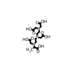 CC(C(=O)O)N(CCN(CCN(CC(=O)O)CC(=O)O)CC(=O)O)CC(=O)O